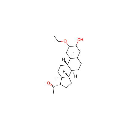 CCOC1C[C@@]2(C)C(CC[C@H]3[C@@H]4CC[C@H](C(C)=O)[C@@]4(C)CC[C@@H]32)CC1O